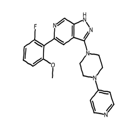 COc1cccc(F)c1-c1cc2c(N3CCN(c4ccncc4)CC3)n[nH]c2cn1